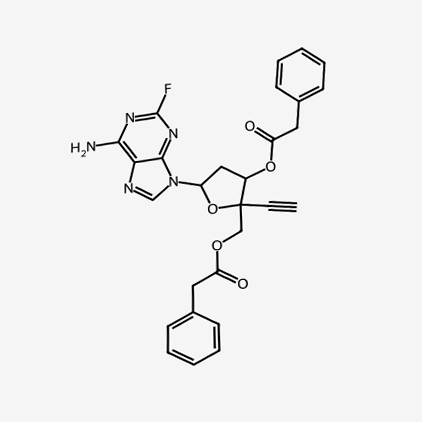 C#CC1(COC(=O)Cc2ccccc2)OC(n2cnc3c(N)nc(F)nc32)CC1OC(=O)Cc1ccccc1